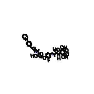 C/C(=C\c1ccc(O[C@H]2C[C@@H](O)[C@@H](/C(C)=N/OCc3ccc(N4CCCCC4)cc3)O2)c(F)c1)C(=O)N[C@@H]1[C@H](O)[C@@H](O)[C@H]2OCO[C@H]2[C@@H]1O